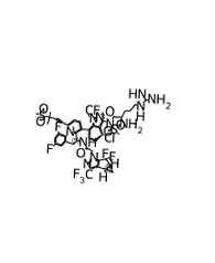 CC(C)(C#Cc1ccc(-c2ccc(Cl)c3c(N(C(=O)C(N)CCCNC(=N)N)S(C)(=O)=O)nn(CC(F)(F)F)c23)c([C@H](Cc2cc(F)cc(F)c2)NC(=O)Cn2nc(C(F)(F)F)c3c2C(F)(F)[C@@H]2C[C@H]32)n1)S(C)(=O)=O